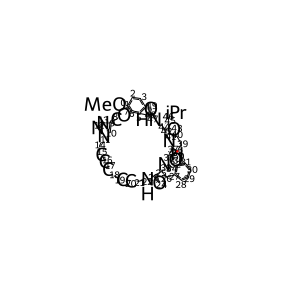 COc1cccc2c1OCc1cn(nn1)CCCCCCCCNC(=O)[C@H](Cc1ccccc1)N(C)C(=O)[C@H]1CCCN1C(=O)[C@@H](CC(C)C)NC2=O